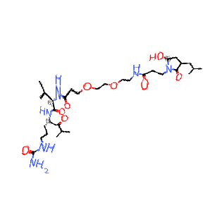 CC(C)CC1C[C@H](O)N(CCC(=O)NCCOCCOCCC(=O)N[C@H](C(=O)N[C@@H](CCCNC(N)=O)C(=O)C(C)C)C(C)C)C1=O